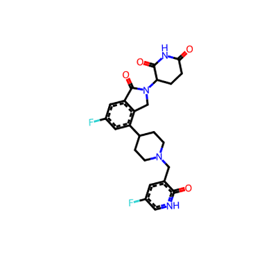 O=C1CCC(N2Cc3c(cc(F)cc3C3CCN(Cc4cc(F)c[nH]c4=O)CC3)C2=O)C(=O)N1